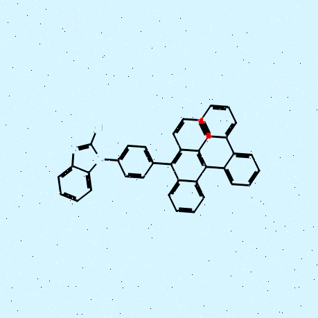 Cc1nc2ccccc2n1-c1ccc(-c2c3ccccc3c(-c3ccccc3-c3ccccc3)c3ccccc23)cc1